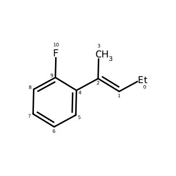 CC/C=C(\C)c1ccccc1F